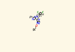 CC(C)c1ccc(-c2cc3c(cnn3COCC[Si](C)(C)C)nc2C(Cc2cc(F)cc(F)c2)NC(=O)O)cn1